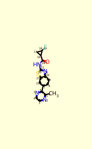 Cc1nccnc1-c1ccc2nc(NC(=O)C3CC3F)sc2c1